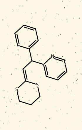 C(=C1SCCCS1)C(c1ccccc1)c1ccccn1